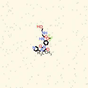 CC1(C)C(=O)N(c2ccc(OC(F)(F)F)c(NC(=O)CNCCO)c2)C(=O)N1Cc1ccncc1